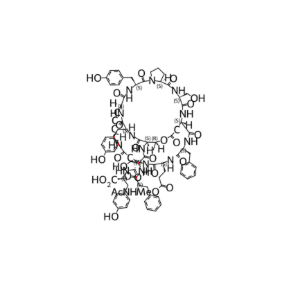 COC(=O)CC[C@@H]1NC(=O)[C@H](Cc2ccccc2)NC(=O)[C@@H]2CC(=O)O[C@H](C)[C@H](NC(=O)[C@H](CO)NC(=O)[C@H](Cc3ccccc3)NC(C)=O)C(=O)N[C@@H](Cc3ccc(O)cc3)C(=O)N[C@@H](CCCCNC(=O)C[C@@H](C(=O)N[C@@H](Cc3ccc(O)cc3)C(=O)O)NC1=O)C(=O)N[C@@H](Cc1ccc(O)cc1)C(=O)N1CCC[C@H]1C(=O)N[C@@H](CO)C(=O)N2